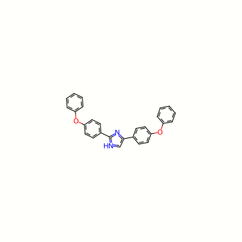 c1ccc(Oc2ccc(-c3c[nH]c(-c4ccc(Oc5ccccc5)cc4)n3)cc2)cc1